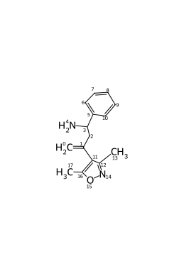 C=C(CC(N)c1ccccc1)c1c(C)noc1C